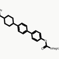 CCCCCCCC(=O)Oc1ccc(-c2ccc(C3CCC(CC(C)C)CC3)cc2)cc1